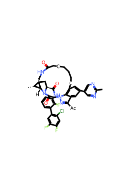 CC(=O)c1nn2c3c(cc(-c4cnc(C)nc4)cc13)CCCCCCC(=O)NC[C@@]13C[C@@H](C(=O)Nc4cccc(-c5cc(F)c(F)cc5Cl)c4F)N(C(=O)C2)[C@@H]1[C@@H]3C